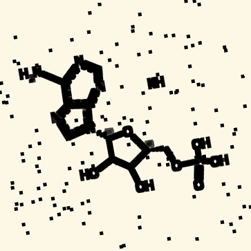 Nc1ncnc2c1ncn2[C@@H]1O[C@H](COP(=O)(O)O)C(O)C1O.[KH]